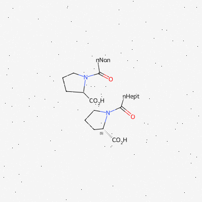 CCCCCCCC(=O)N1CCC[C@H]1C(=O)O.CCCCCCCCCC(=O)N1CCCC1C(=O)O